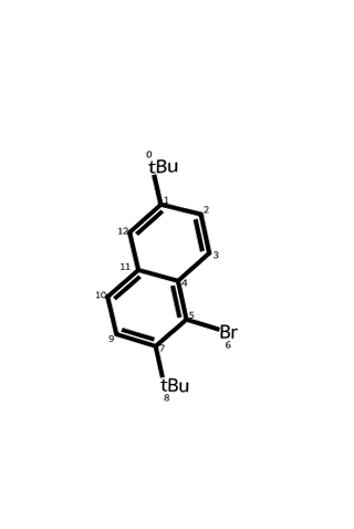 CC(C)(C)c1ccc2c(Br)c(C(C)(C)C)ccc2c1